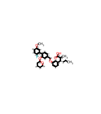 CCC[C@H](c1cccc(OCc2ccc(-c3cc(OC)ccc3F)c(OC3CCCCO3)c2)c1)C(C)C(=O)O